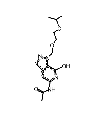 CC(=O)Nc1nc(O)c2c(nnn2COCCOC(C)C)n1